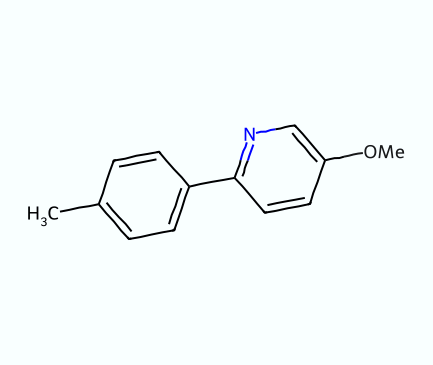 COc1ccc(-c2ccc(C)cc2)nc1